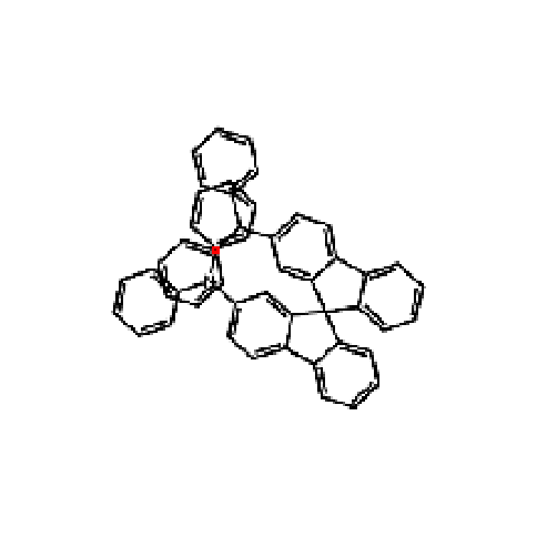 c1ccc(C(c2ccccc2)c2ccc3c(c2)C2(c4ccccc4-3)c3ccccc3-c3ccc(N(c4ccccc4)c4ccccc4)cc32)cc1